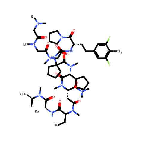 CC[C@H](C)[C@H](NC(=O)[C@H](CC(C)C)N(C)C(=O)C[C@@H](C(=O)N(C)C)N(C)C(=O)[C@H](C1CCCC1)N(C)C(=O)C1(NC(=O)[C@@H]2CCCN2C(=O)[C@H](CCc2cc(F)c(C(F)(F)F)c(F)c2)NC(=O)CN(C)C(=O)CN(CC)C(=O)CN(C)CC)CCCC1)C(=O)N(C)[C@@H](C)C=O